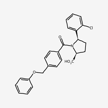 O=C(O)[C@@H]1CC[C@H](c2ccccc2Cl)N1C(=O)c1ccc(COc2ccccc2)cc1